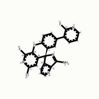 NC1=N[C@]2(c3cc(-c4cccnc4F)ccc3Oc3c2cc(Cl)nc3F)c2cccnc21